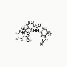 N#CCc1cc(NC(=O)c2cccc(S(=O)(=O)N3CCCCC3CO)c2)ccc1F